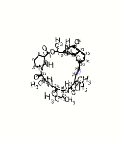 CC1OC(=O)C2CCCN(N2)C(=O)[C@H](C)NC(=O)[C@H](C(C)C)NC(=O)C(C)(C)/C=C/c2ccc3c(=O)[nH]c1nc3c2